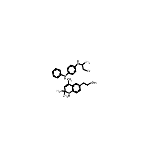 CC(C)CC(C)Nc1ccc(Nc2ccccc2)cc1.CCCCCCCCCCCCc1ccc2c(c1)C(C)=CC(C)(C)N2